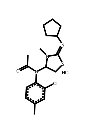 CC(=O)N(c1ccc(C)cc1Cl)C1CSC(=NC2CCCC2)N1C.Cl